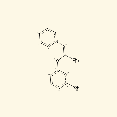 CC(=Cc1ccccc1)Oc1cccc(O)c1